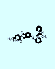 C=C1CCC(N2Cc3cc(OC[C@H]4CCCCN4Cc4c(C)nc5ccccn45)ccc3C2=O)C(=O)N1